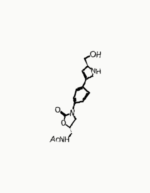 CC(=O)NC[C@H]1CN(c2ccc(C3=C[C@@H](CO)NC3)cc2)C(=O)O1